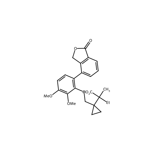 CCC(C)(C(=O)O)C1(COc2c(-c3cccc4c3COC4=O)ccc(OC)c2OC)CC1